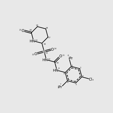 CC(C)c1cc(Cl)cc(C(C)C)c1NC(=O)NS(=O)(=O)C1CCCC(=O)N1